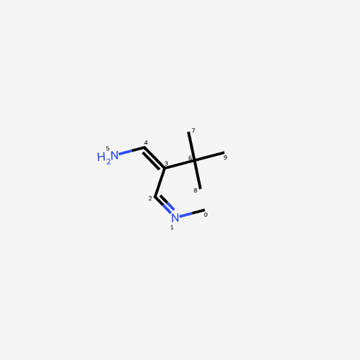 C/N=C\C(=C/N)C(C)(C)C